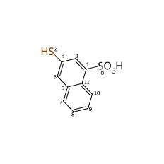 O=S(=O)(O)c1cc(S)cc2ccccc12